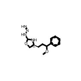 COC(CC[C@H]1COC(NN=N)N1)c1ccccc1